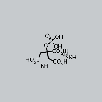 O=C(O)CC(CC(=O)O)(OP(=O)(O)O)C(=O)O.[KH].[KH].[KH].[KH]